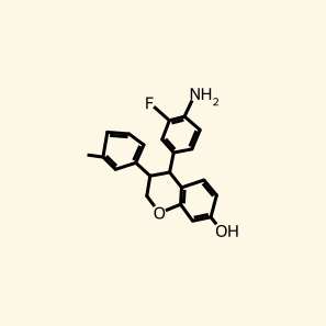 Cc1cccc(C2COc3cc(O)ccc3C2c2ccc(N)c(F)c2)c1